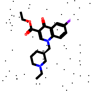 CCOC(=O)c1cn(C[C@@H]2CCCN(CC)C2)c2ccc(I)cc2c1=O